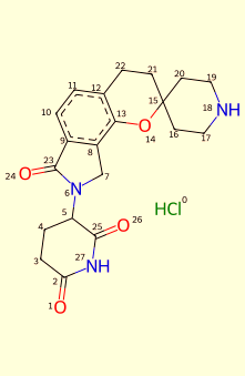 Cl.O=C1CCC(N2Cc3c(ccc4c3OC3(CCNCC3)CC4)C2=O)C(=O)N1